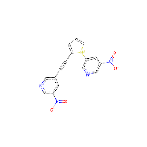 O=[N+]([O-])c1cncc(C#CC2=CC=[C][SH]2c2cncc([N+](=O)[O-])c2)c1